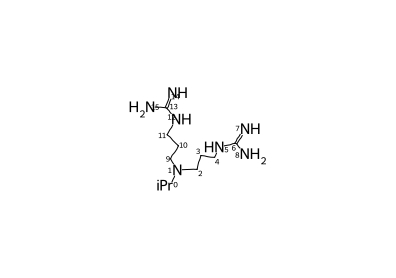 CC(C)N(CCCNC(=N)N)CCCNC(=N)N